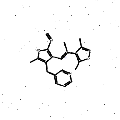 C=Nc1[nH]c(C)c(Cc2cccnc2)c1/C=C(\C)c1c(C)noc1C